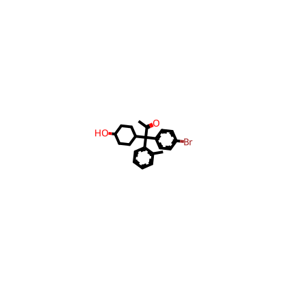 CC(=O)C(c1ccc(Br)cc1)(c1ccccc1C)C1CCC(O)CC1